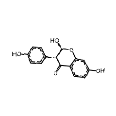 O=C1c2ccc(O)cc2O[C@H](O)[C@@H]1c1ccc(O)cc1